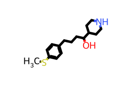 CSc1ccc(CCCC(O)C2CCNCC2)cc1